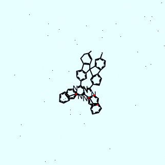 CC1=CC2=C(CC1)c1ccc(-c3nc(-c4ccccc4)nc(-c4ccccc4)n3)cc1C21c2cc(C)ccc2-c2ccc(-c3nc(-c4ccccc4)nc(-c4ccccc4)n3)cc21